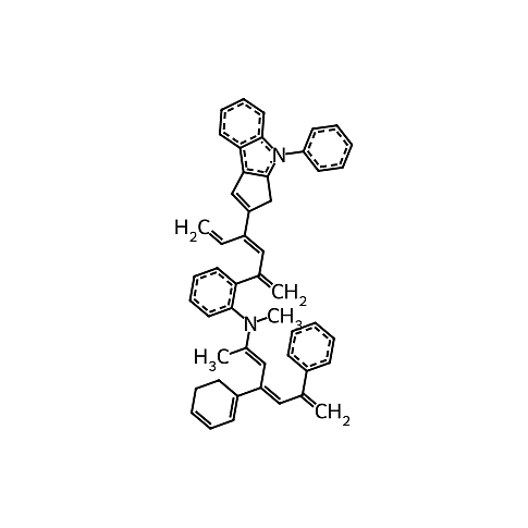 C=C/C(=C\C(=C)c1ccccc1N(C)/C(C)=C/C(=C\C(=C)c1ccccc1)C1=CC=CCC1)C1=Cc2c(n(-c3ccccc3)c3ccccc23)C1